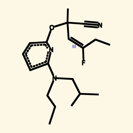 CCCN(CC(C)C)c1cccc(OC(C)(C#N)/C=C(/F)CC)n1